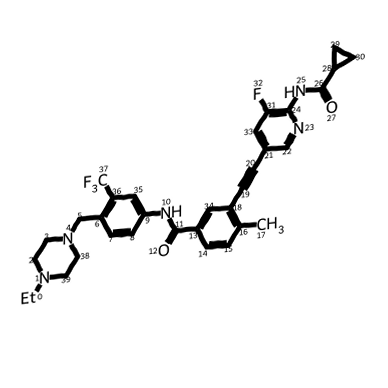 CCN1CCN(Cc2ccc(NC(=O)c3ccc(C)c(C#Cc4cnc(NC(=O)C5CC5)c(F)c4)c3)cc2C(F)(F)F)CC1